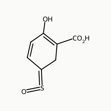 O=S=C1C=CC(O)=C(C(=O)O)C1